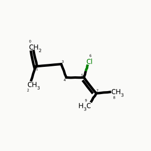 C=C(C)CCC(Cl)=C(C)C